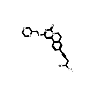 CC(O)CC#Cc1ccc2c(c1)CCn1c-2cc(OC[C@@H]2COCCO2)nc1=O